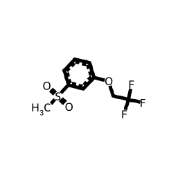 CS(=O)(=O)c1cccc(OCC(F)(F)F)c1